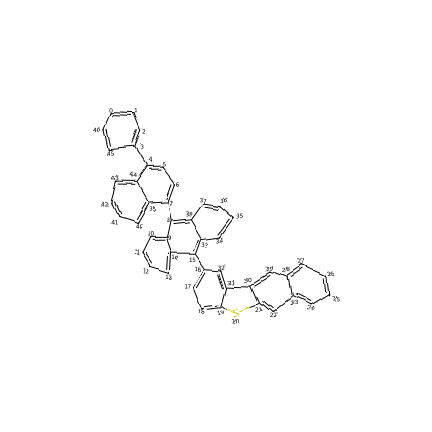 c1ccc(-c2ccc(-c3c4ccccc4c(-c4ccc5sc6cc7ccccc7cc6c5c4)c4ccccc34)c3ccccc23)cc1